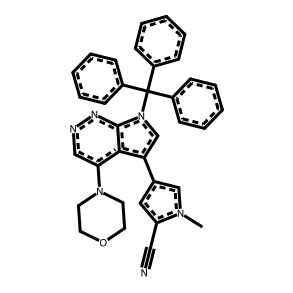 Cn1cc(-c2cn(C(c3ccccc3)(c3ccccc3)c3ccccc3)c3nncc(N4CCOCC4)c23)cc1C#N